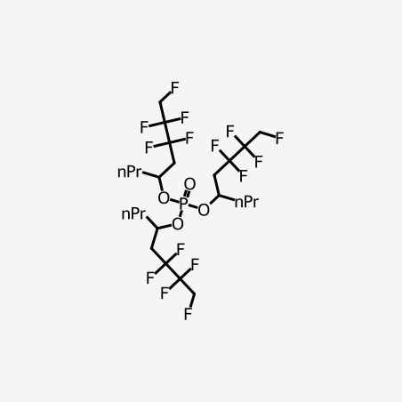 CCCC(CC(F)(F)C(F)(F)CF)OP(=O)(OC(CCC)CC(F)(F)C(F)(F)CF)OC(CCC)CC(F)(F)C(F)(F)CF